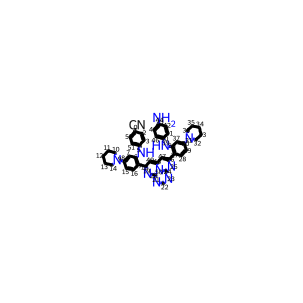 N#Cc1ccc(Nc2cc(N3CCCCC3)ccc2C2=NC3=NC=NC4=NC(c5ccc(N6CCCCC6)cc5Nc5ccc(N)cc5)=CC(=C2)N34)cc1